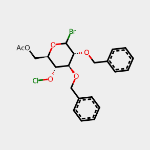 CC(=O)OC[C@H]1O[C](Br)[C@H](OCc2ccccc2)[C@@H](OCc2ccccc2)[C@@H]1OCl